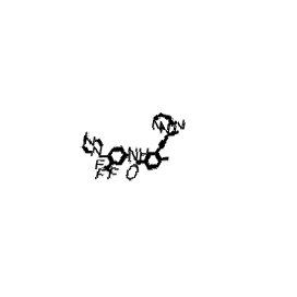 Cc1ccc(C(=O)Nc2ccc(CN3CCN(I)CC3)c(C(F)(F)F)c2)cc1C#Cc1cnc2cccnn12